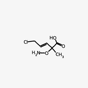 CC(C=CCCl)(ON)C(=O)O